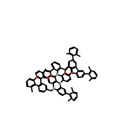 Cc1cccc(C)c1-c1ccc(CN2c3ccc(-c4c(C)cccc4C)cc3B3c4ccc(-n5c6ccc(-c7c(C)cccc7C)cc6c6cc(-c7c(C)cccc7C)ccc65)cc4N(c4c(-c5ccccc5)cccc4-c4ccccc4)c4cc(-c5c(C)cccc5C)cc2c43)cc1